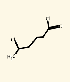 CC(Cl)CCCC(=O)Cl